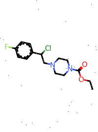 CCOC(=O)N1CCN(CC(Cl)c2ccc(F)cc2)CC1